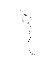 CCCCC/N=N/c1ccc(O)cc1